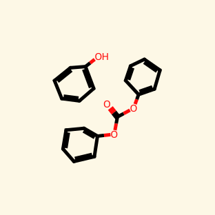 O=C(Oc1ccccc1)Oc1ccccc1.Oc1ccccc1